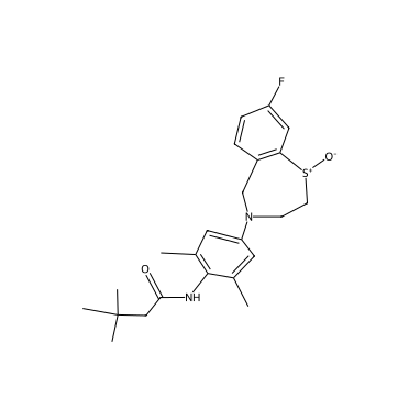 Cc1cc(N2CC[S+]([O-])c3cc(F)ccc3C2)cc(C)c1NC(=O)CC(C)(C)C